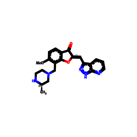 COc1ccc2c(c1CN1CCN[C@@H](C)C1)O/C(=C\c1n[nH]c3ncccc13)C2=O